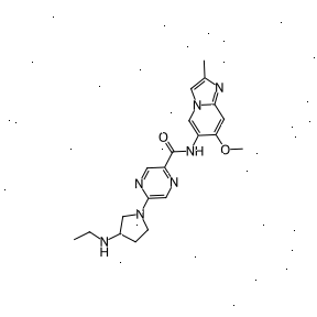 CCNC1CCN(c2cnc(C(=O)Nc3cn4cc(C)nc4cc3OC)cn2)C1